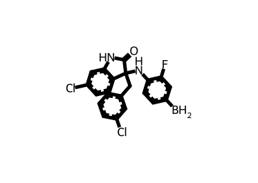 Bc1ccc(NC2(Cc3cccc(Cl)c3)C(=O)Nc3cc(Cl)ccc32)c(F)c1